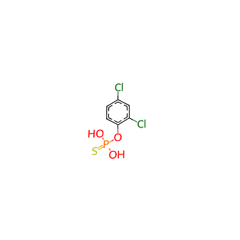 OP(O)(=S)Oc1ccc(Cl)cc1Cl